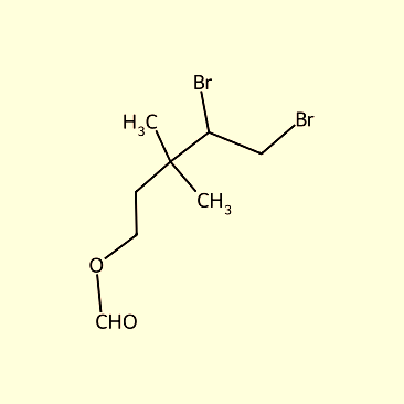 CC(C)(CCOC=O)C(Br)CBr